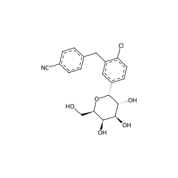 N#Cc1ccc(Cc2cc([C@H]3O[C@H](CO)[C@H](O)[C@H](O)[C@H]3O)ccc2Cl)cc1